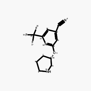 N#Cc1cc(O[C@H]2CCCNC2)nc(C(F)(F)F)c1